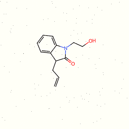 C=CCC1C(=O)N(CCO)c2ccccc21